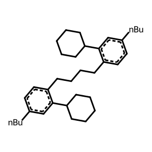 CCCCc1ccc(CCCCc2ccc(CCCC)cc2C2CCCCC2)c(C2CCCCC2)c1